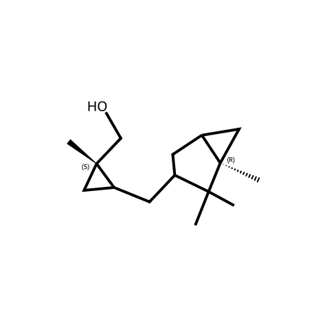 CC1(C)C(CC2C[C@]2(C)CO)CC2C[C@]21C